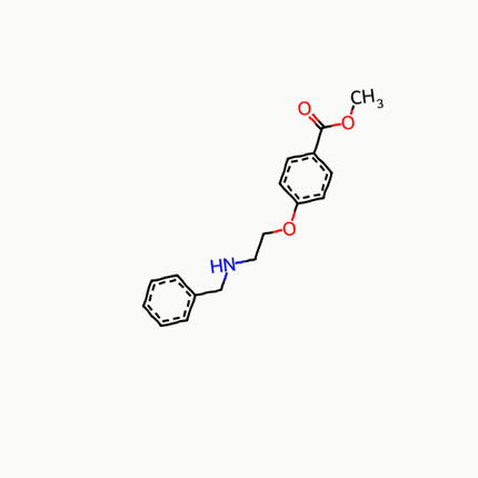 COC(=O)c1ccc(OCCNCc2ccccc2)cc1